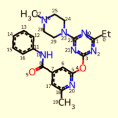 CCc1nc(Oc2cc(C(=O)Nc3ccccc3)cc(C)n2)nc(N2CCN(C)CC2)n1